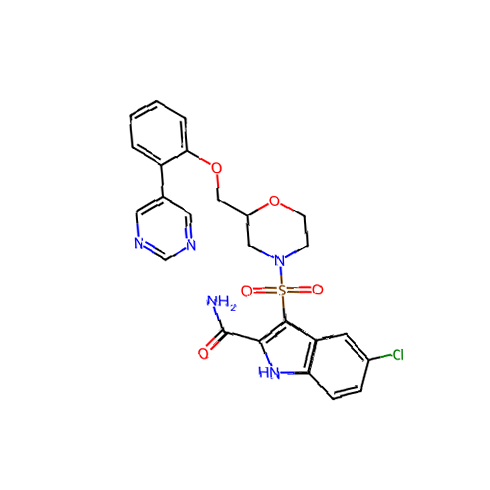 NC(=O)c1[nH]c2ccc(Cl)cc2c1S(=O)(=O)N1CCOC(COc2ccccc2-c2cncnc2)C1